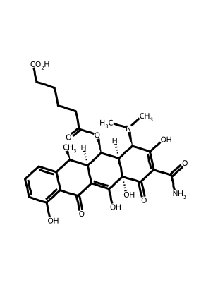 C[C@@H]1c2cccc(O)c2C(=O)C2=C(O)[C@]3(O)C(=O)C(C(N)=O)=C(O)[C@H](N(C)C)[C@@H]3[C@H](OC(=O)CCCCC(=O)O)[C@@H]21